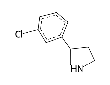 Clc1cccc(C2CCNC2)c1